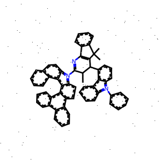 CC1C(n2c3ccc4ccccc4c3c3c4c5ccccc5c5ccccc5c4ccc32)=NC2=C(C1c1cccc3c1c1ccccc1n3-c1ccccc1)C(C)(C)c1ccccc12